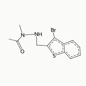 CC(=O)N(C)NCc1sc2ccccc2c1Br